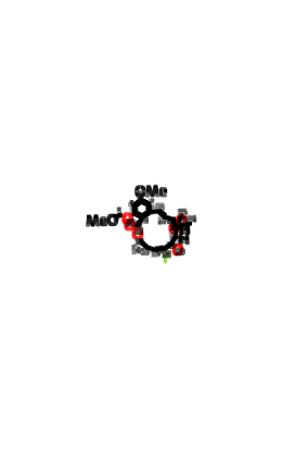 COCOc1cc(OC)cc2c1C(=O)O[C@@H](C)CC=C(F)C(=O)[C@H]1OC(C)(C)C3(/C=C/2)O[C@H]13